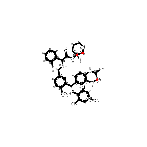 CC(C)Oc1cc([C@H](Cc2c(Cl)c[n+]([O-])cc2Cl)c2cc(CNC(C(=O)O[C@H]3CN4CCC3CC4)c3ccccc3F)ccc2C(=O)O)ccc1OC(F)F